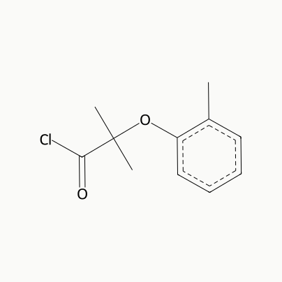 Cc1ccccc1OC(C)(C)C(=O)Cl